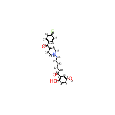 COc1ccc(O)c(C(=O)CCCCCN2CCC(C(=O)c3ccc(F)cc3)CC2)c1